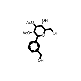 CC(=O)OC1[C@H](O)C(CO)OC(c2cccc(CO)c2)[C@@H]1OC(C)=O